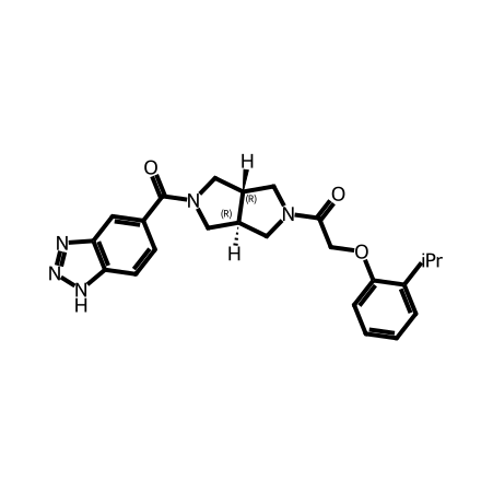 CC(C)c1ccccc1OCC(=O)N1C[C@H]2CN(C(=O)c3ccc4[nH]nnc4c3)C[C@@H]2C1